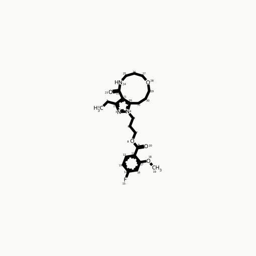 CCc1nn(CCCOC(=O)c2ccc(F)cc2OC)c2c1C(=O)NCCCOCCC2